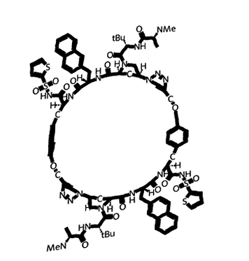 CN[C@@H](C)C(=O)N[C@H](C(=O)N1C[C@@H]2C[C@H]1C(=O)N[C@@H](Cc1ccc3ccccc3c1)C(=O)N[C@H](C(=O)NS(=O)(=O)c1cccs1)Cc1ccc(cc1)OCc1cn(nn1)[C@H]1C[C@@H](C(=O)N[C@@H](Cc3ccc4ccccc4c3)C(=O)N[C@H](C(=O)NS(=O)(=O)c3cccs3)Cc3ccc(cc3)OCc3cn2nn3)N(C(=O)[C@@H](NC(=O)[C@H](C)NC)C(C)(C)C)C1)C(C)(C)C